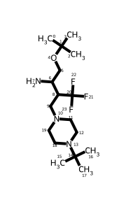 CC(C)(C)OCC(N)C(CN1CCN(C(C)(C)C)CC1)C(F)(F)F